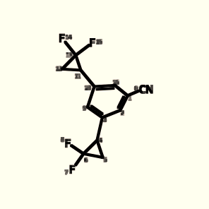 N#Cc1cc(C2CC2(F)F)cc(C2CC2(F)F)c1